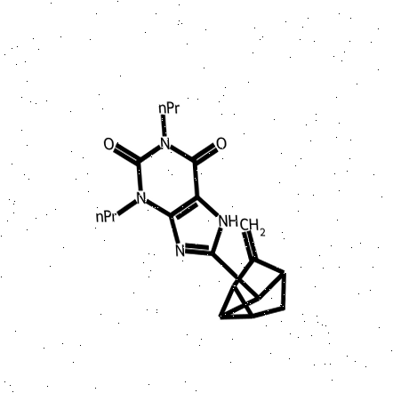 C=C1C2CC3C1C3C2c1nc2c([nH]1)c(=O)n(CCC)c(=O)n2CCC